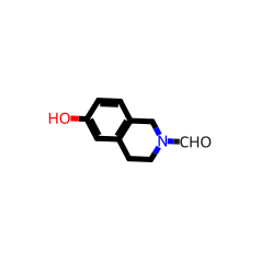 O=CN1CCc2cc(O)ccc2C1